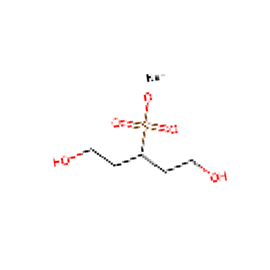 O=S(=O)([O-])C(CCO)CCO.[Na+]